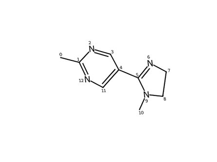 Cc1ncc(C2=NCCN2C)cn1